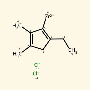 CCC1=[C]([Zr+2])C(C)=C(C)C1.[Cl-].[Cl-]